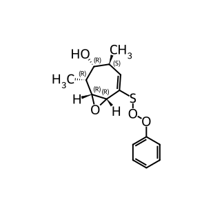 C[C@@H]1[C@H](O)[C@@H](C)C=C(SOOc2ccccc2)[C@@H]2O[C@H]12